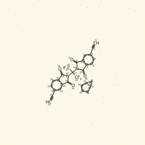 C#Cc1ccc2c(c1)C(=O)N(C(N1C(=O)c3ccc(C#C)cc3C1=O)(C(F)(F)F)C(F)(F)F)C2=O.c1cc2cc-2c1